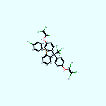 FC(F)=C(F)Oc1ccc(C(c2ccc(OC(F)=C(F)F)cc2)(c2ccccc2Sc2ccc(F)cc2)C(F)(F)F)cc1